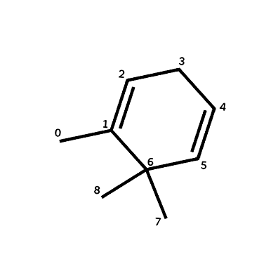 CC1=CCC=CC1(C)C